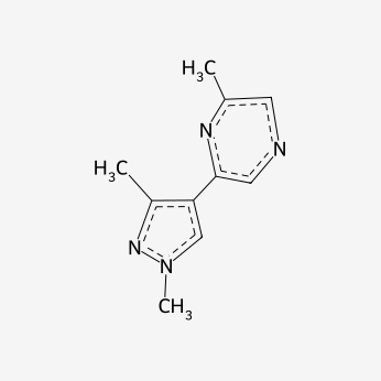 Cc1cncc(-c2cn(C)nc2C)n1